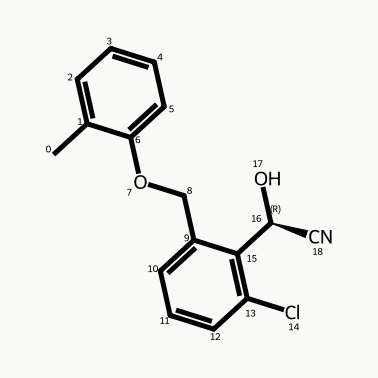 Cc1ccccc1OCc1cccc(Cl)c1[C@@H](O)C#N